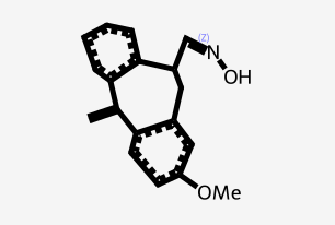 C=C1c2ccc(OC)cc2CC(/C=N\O)c2ccccc21